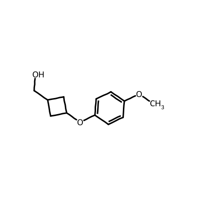 COc1ccc(OC2CC(CO)C2)cc1